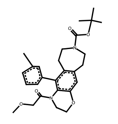 COCC(=O)N1CCOc2cc3c(c(-c4cccc(C)c4)c21)CCN(C(=O)OC(C)(C)C)CC3